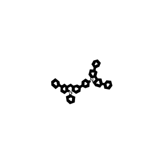 c1ccc(-c2ccc3c(c2)Cc2cc(-c4ccc(-n5c6ccc(-c7ccccc7)cc6c6cc(-c7ccccc7)ccc65)cc4)ccc2N3c2ccccc2)cc1